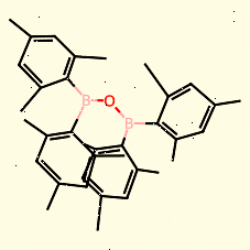 Cc1cc(C)c(B(OB(c2c(C)cc(C)cc2C)c2c(C)cc(C)cc2C)c2c(C)cc(C)cc2C)c(C)c1